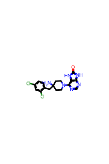 NC1(Cc2ccc(Cl)cc2Cl)CCN(c2ncnc3[nH]c(=O)[nH]c23)CC1